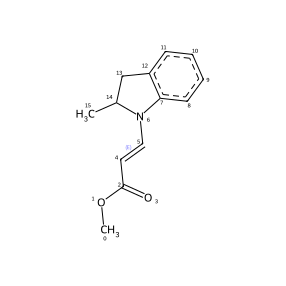 COC(=O)/C=C/N1c2ccccc2CC1C